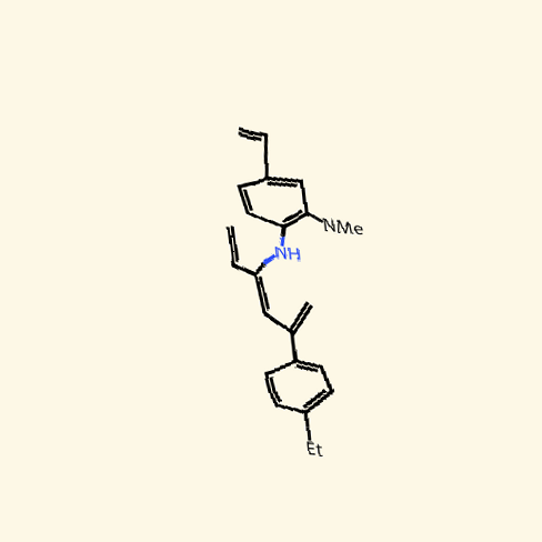 C=C/C(=C/C(=C)c1ccc(CC)cc1)Nc1ccc(C=C)cc1NC